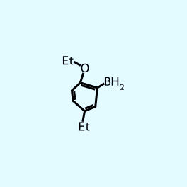 Bc1cc(CC)ccc1OCC